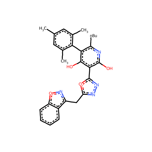 CCCCc1nc(O)c(-c2nnc(Cc3noc4ccccc34)o2)c(O)c1-c1c(C)cc(C)cc1C